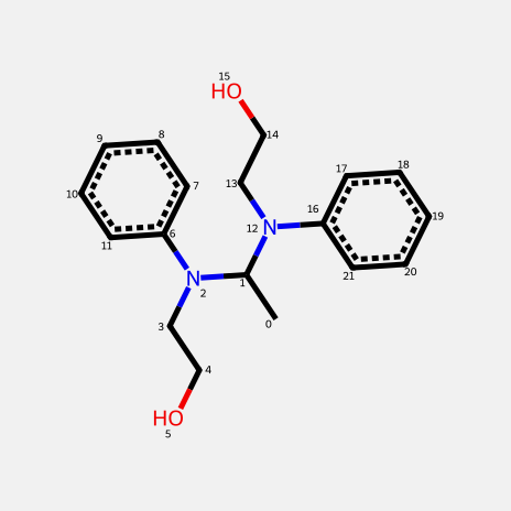 CC(N(CCO)c1ccccc1)N(CCO)c1ccccc1